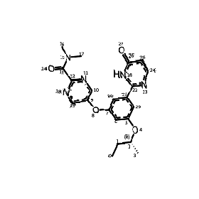 CC[C@@H](C)Oc1cc(Oc2cnc(C(=O)N(C)C)nc2)cc(-c2nccc(=O)[nH]2)c1